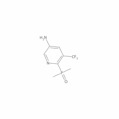 CP(C)(=O)c1ncc(N)cc1C(F)(F)F